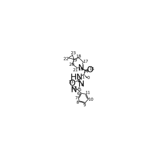 C[C@@H](Nc1nc(-c2ccccc2)no1)C(=O)N1CCC2(CC1)CC2